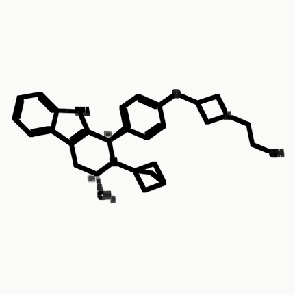 C[C@@H]1Cc2c([nH]c3ccccc23)[C@@H](c2ccc(OC3CN(CCO)C3)cc2)N1C12CC(C1)C2